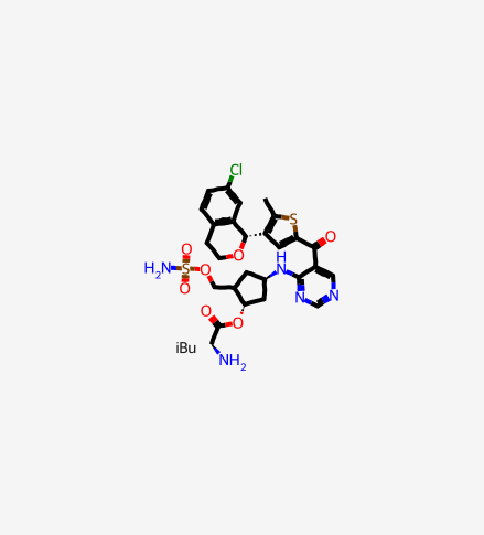 CC[C@H](C)[C@H](N)C(=O)O[C@H]1C[C@H](Nc2ncncc2C(=O)c2cc([C@@H]3OCCc4ccc(Cl)cc43)c(C)s2)CC1COS(N)(=O)=O